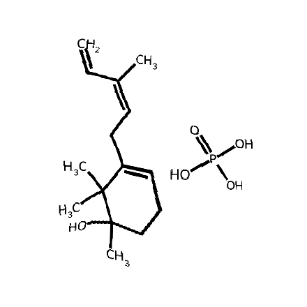 C=CC(C)=CCC1=CCCC(C)(O)C1(C)C.O=P(O)(O)O